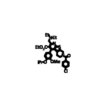 CCOC(=O)c1c(CN(CC)CC)nc2sc3c(c2c1-c1ccc(OC(C)C)c(OC)c1)CCN(C(=O)c1ccc(Cl)cc1)C3